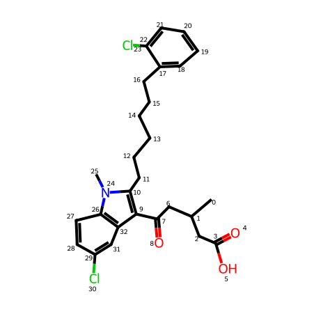 CC(CC(=O)O)CC(=O)c1c(CCCCCCc2ccccc2Cl)n(C)c2ccc(Cl)cc12